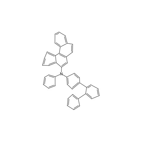 c1ccc(-c2ccccc2-c2ccc(N(c3ccccc3)c3cc4ccc5ccccc5c4c4ccccc34)cc2)cc1